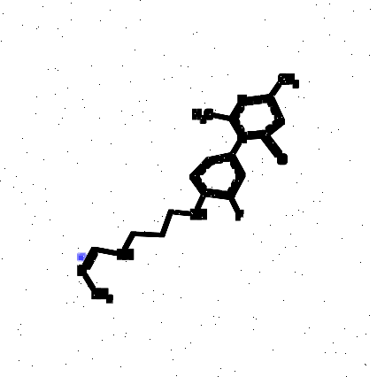 Cc1cc(=O)n(-c2ccc(NCCCN/C=N\N)c(F)c2)c(C)n1